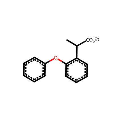 CCOC(=O)C(C)c1ccccc1Oc1ccccc1